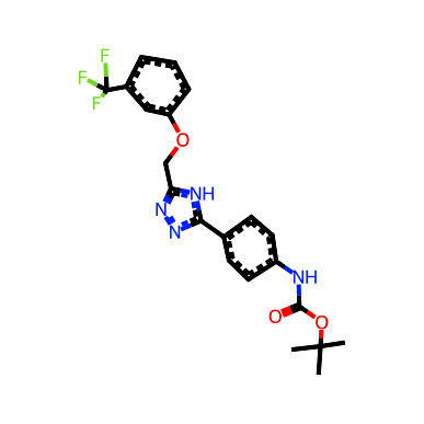 CC(C)(C)OC(=O)Nc1ccc(-c2nnc(COc3cccc(C(F)(F)F)c3)[nH]2)cc1